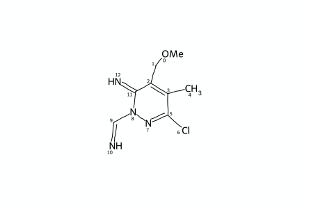 COCc1c(C)c(Cl)nn(C=N)c1=N